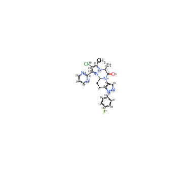 CCC(C(=O)N1CCCc2c1cnn2-c1ccc(F)cc1)n1nc(-c2ncccn2)c(Cl)c1C